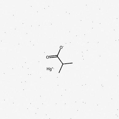 CC(C)C(=O)[O-].[Hg+]